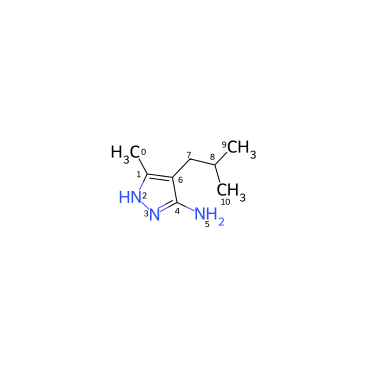 Cc1[nH]nc(N)c1CC(C)C